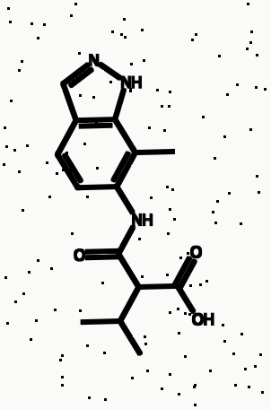 Cc1c(NC(=O)C(C(=O)O)C(C)C)ccc2cn[nH]c12